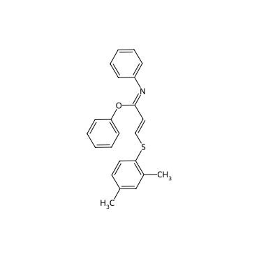 Cc1ccc(SC=CC(=Nc2ccccc2)Oc2ccccc2)c(C)c1